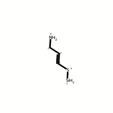 NCC=CS[SiH3]